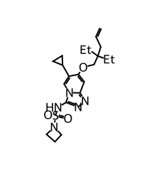 C=CCC(CC)(CC)COc1cc2nnc(NS(=O)(=O)N3CCC3)n2cc1C1CC1